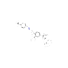 O=C(O)N1CCC[C@H]1c1nc(-c2ccc(OC/C=C/c3ccc(C(F)(F)F)cc3)c(C(F)(F)F)c2)no1